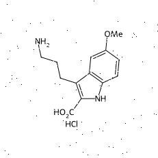 COc1ccc2[nH]c(C(=O)O)c(CCCN)c2c1.Cl